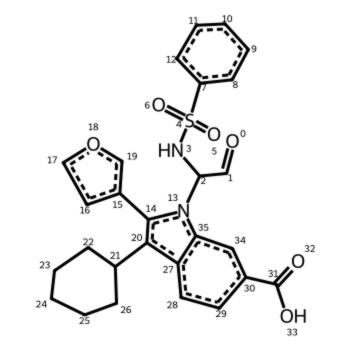 O=CC(NS(=O)(=O)c1ccccc1)n1c(-c2ccoc2)c(C2CCCCC2)c2ccc(C(=O)O)cc21